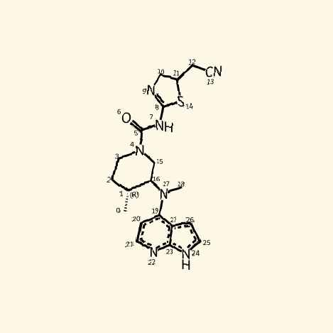 C[C@@H]1CCN(C(=O)NC2=NCC(CC#N)S2)CC1N(C)c1ccnc2[nH]ccc12